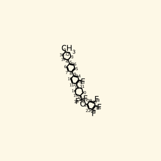 CC1CCC(c2ccc(-c3ccc(C4CCC(C(F)(F)Oc5cc(F)c(F)c(F)c5)CC4)c(F)c3)cc2)CC1